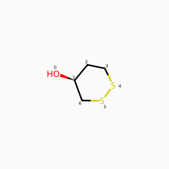 O[C@H]1CCSSC1